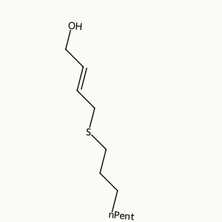 CCCCCCCCSC/C=C/CO